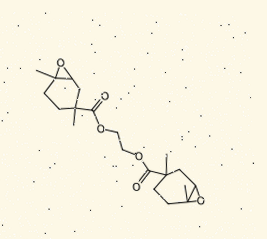 CC1(C(=O)OCCOC(=O)C2(C)CCC3(C)OC3C2)CCC2(C)OC2C1